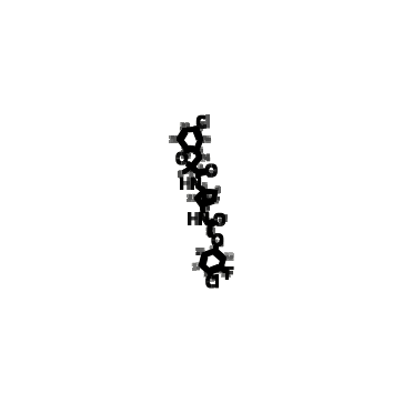 C[C@]1(C(=O)NC23CC(C2)C(NC(=O)COc2ccc(Cl)c(F)c2)C3)Cc2cc(Cl)ccc2O1